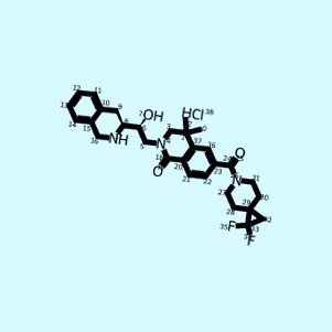 CC1(C)CN(C[C@@H](O)[C@@H]2Cc3ccccc3CN2)C(=O)c2ccc(C(=O)N3CCC4(CC3)CC4(F)F)cc21.Cl